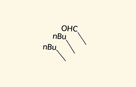 CC=O.CCCCC.CCCCC